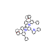 c1ccc(-c2cc(-c3ccccc3)c3c4c(C5CCCCC5)ccc5c4n(c3c2)-c2cc(-c3cccc(-c4ccccc4)n3)cc3c2B5c2ccc(C4CCCCC4)c4c5c(-c6ccccc6)cc(-c6ccccc6)cc5n-3c24)cc1